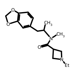 CCN1CC(C(=O)N(C)C(C)Cc2ccc3c(c2)OCO3)C1